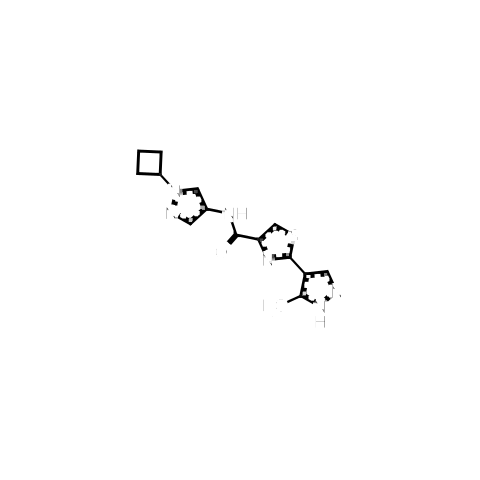 Cc1[nH]ncc1-c1nc(C(=O)Nc2cnn(C3CCC3)c2)cs1